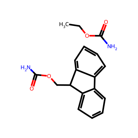 CCOC(N)=O.NC(=O)OCC1c2ccccc2-c2ccccc21